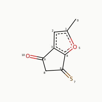 Cc1cc2c(o1)C(=S)CC2=O